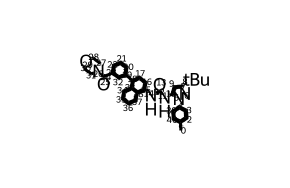 Cc1ccc(-n2nc(C(C)(C)C)cc2NC(=O)Nc2ccc(-c3cccc(C(=O)N4CCOCC4)c3)c3ccccc23)cc1